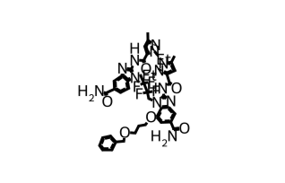 CCn1nc(C)cc1C(=O)Nc1nc2cc(C(N)=O)ccc2n1CC(F)(F)C(F)(F)Cn1c(NC(=O)c2cc(C)nn2CC)nc2cc(C(N)=O)cc(OCCCOCc3ccccc3)c21